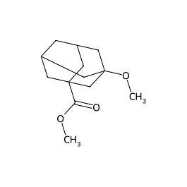 COC(=O)C12CC3CC(CC(OC)(C3)C1)C2